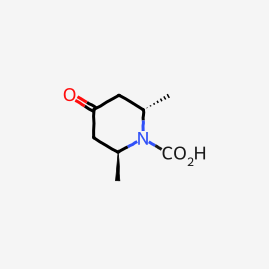 C[C@H]1CC(=O)C[C@H](C)N1C(=O)O